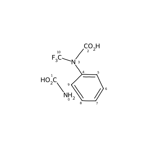 NC(=O)O.O=C(O)N(c1ccccc1)C(F)(F)F